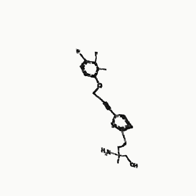 Cc1c(OCC#Cc2ccc(CCC(C)(N)CO)s2)ccc(F)c1F